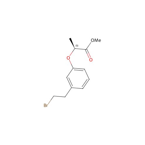 COC(=O)[C@H](C)Oc1cccc(CCBr)c1